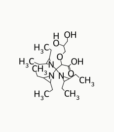 CCC1C(CC)N1C(C(OCC(O)CO)C(=O)O)(N1C(CC)C1CC)N1C(CC)C1CC